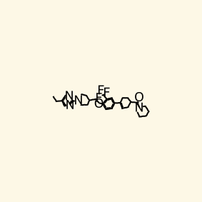 CCc1cnc(N2CCC(COc3ccc(C4=CCC(C(=O)N5CCCCC5)CC4)cc3C(F)(F)F)CC2)nc1